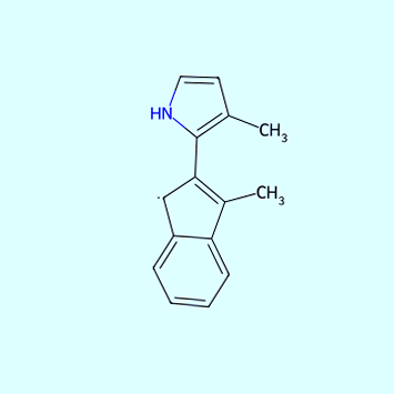 CC1=C(c2[nH]ccc2C)[CH]c2ccccc21